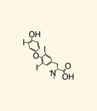 CN(C)[C@@H](Cc1cc(I)c(Oc2ccc(O)c(I)c2)c(I)c1)C(=O)O